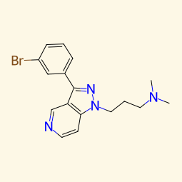 CN(C)CCCn1nc(-c2cccc(Br)c2)c2cnccc21